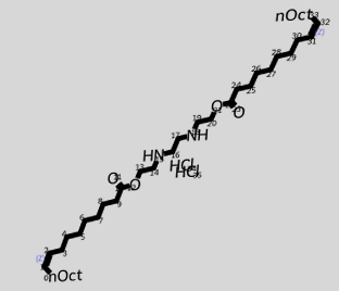 CCCCCCCC/C=C\CCCCCCCC(=O)OCCNCCNCCOC(=O)CCCCCCC/C=C\CCCCCCCC.Cl.Cl